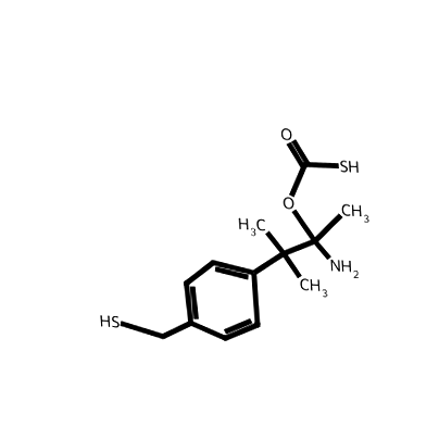 CC(N)(OC(=O)S)C(C)(C)c1ccc(CS)cc1